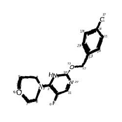 FC1=C(N2CCOCC2)N[C@H](OCc2ccc(Cl)cc2)N=C1